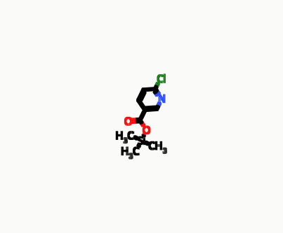 C[Si](C)(C)OC(=O)c1ccc(Cl)nc1